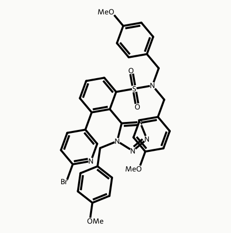 COc1ccc(CN(Cc2ccc(OC)cc2)S(=O)(=O)c2cccc(-c3ccc(Br)nc3)c2-c2nnnn2Cc2ccc(OC)cc2)cc1